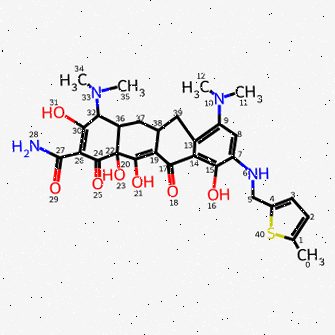 Cc1ccc(CNc2cc(N(C)C)c3c(c2O)C(=O)C2=C(O)C4(O)C(=O)C(C(N)=O)=C(O)C(N(C)C)C4CC2C3)s1